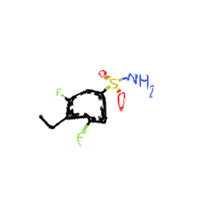 CCc1c(F)cc(S(N)(=O)=O)cc1F